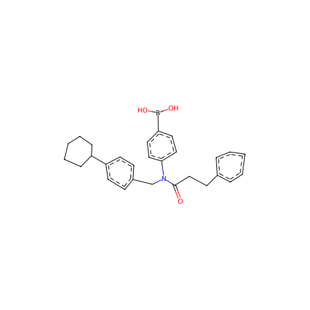 O=C(CCc1ccccc1)N(Cc1ccc(C2CCCCC2)cc1)c1ccc(B(O)O)cc1